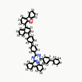 c1ccc(-c2ccc(-c3nc(-c4ccc(-c5ccc(-c6ccc(-c7cccc8c7oc7ccccc78)c7ccccc67)cc5)cc4)nc(-c4ccccc4-c4ccccc4)n3)cc2)cc1